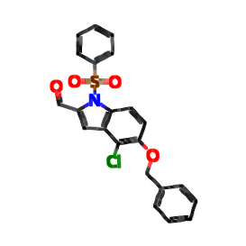 O=Cc1cc2c(Cl)c(OCc3ccccc3)ccc2n1S(=O)(=O)c1ccccc1